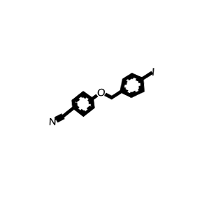 N#Cc1ccc(OCc2ccc(I)cc2)cc1